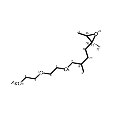 CC(=O)OCCOCCOCC(C)CC[C@]1(C)OC1C